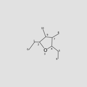 CCC1OC(CC)C(C)C1C